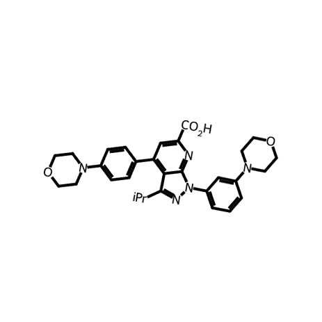 CC(C)c1nn(-c2cccc(N3CCOCC3)c2)c2nc(C(=O)O)cc(-c3ccc(N4CCOCC4)cc3)c12